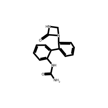 NC(=O)Nc1ccccc1-c1ccccc1N1CNC1=O